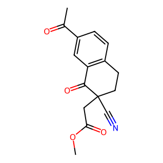 COC(=O)CC1(C#N)CCc2ccc(C(C)=O)cc2C1=O